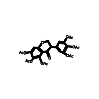 CC(=O)Oc1cc(C2COc3cc(OC(C)=O)c(OC(C)=O)c(OC(C)=O)c3C2=O)cc(OC(C)=O)c1OC(C)=O